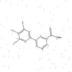 COC(=O)c1cncc(-c2cc(F)c(F)c(F)c2)c1